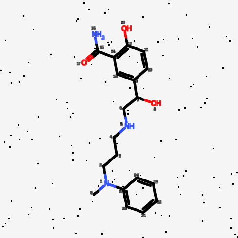 CN(CCCNCC(O)c1ccc(O)c(C(N)=O)c1)c1ccccc1